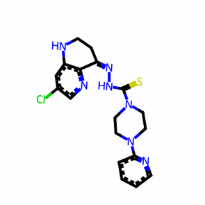 S=C(N/N=C1/CCNc2cc(Cl)cnc21)N1CCN(c2ccccn2)CC1